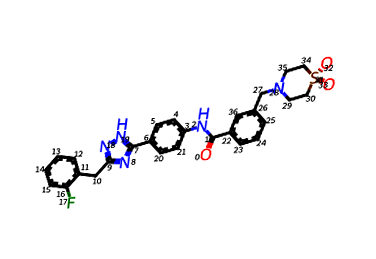 O=C(Nc1ccc(-c2nc(Cc3ccccc3F)n[nH]2)cc1)c1cccc(CN2CCS(=O)(=O)CC2)c1